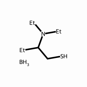 B.CCC(CS)N(CC)CC